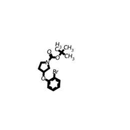 CC(C)(C)OC(=O)N1CCC(Oc2ccccc2Br)C1